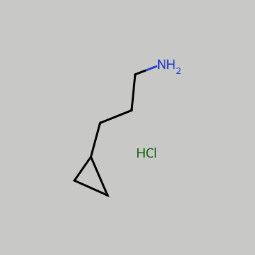 Cl.NCCCC1CC1